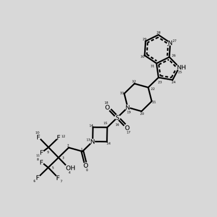 O=C(CC(O)(C(F)(F)F)C(F)(F)F)N1CC(S(=O)(=O)N2CCC(c3c[nH]c4ncccc34)CC2)C1